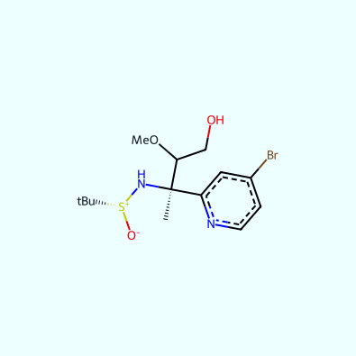 COC(CO)[C@](C)(N[S@+]([O-])C(C)(C)C)c1cc(Br)ccn1